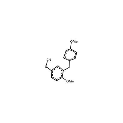 COc1ccc(Cc2cc(SC#N)ccc2OC)cc1